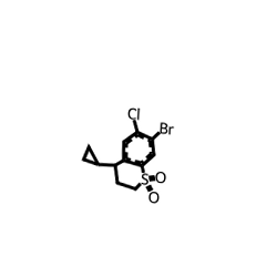 O=S1(=O)CCC(C2CC2)c2cc(Cl)c(Br)cc21